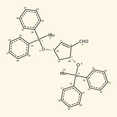 CC(C)(C)[Si](O[C@@H]1C=C(C=O)[C@H](O[Si](c2ccccc2)(c2ccccc2)C(C)(C)C)C1)(c1ccccc1)c1ccccc1